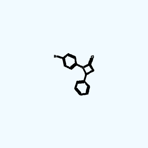 O=C1CC(c2ccccc2)N1c1ccc(Br)cc1